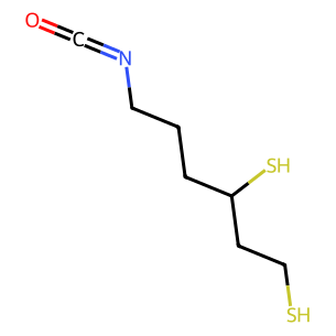 O=C=NCCCC(S)CCS